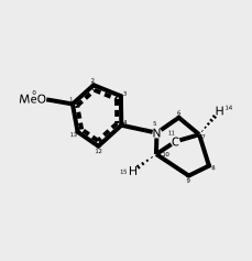 COc1ccc(N2C[C@H]3CC[C@@H]2C3)cc1